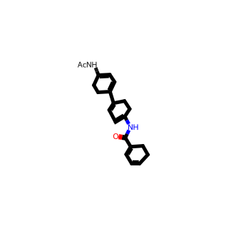 CC(=O)NC1=CC=C(C2=CC=C(NC(=O)C3=CC=CCC3)CC2)CC1